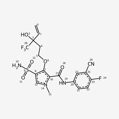 C=CC(O)(CCOc1c(S(N)(=O)=O)cn(C)c1C(=O)Nc1ccc(F)c(C#N)c1)C(F)(F)F